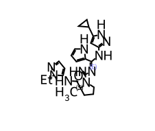 CCn1nccc1NC(=O)[C@]1(C)CCCN1C(=N)/N=C(/Nc1cc(C2CC2)[nH]n1)c1ccc[nH]1